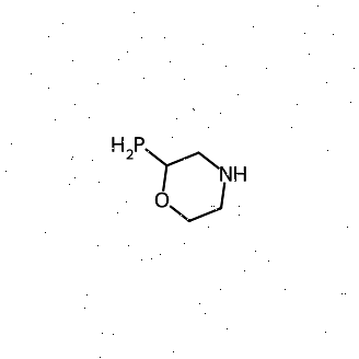 PC1CNCCO1